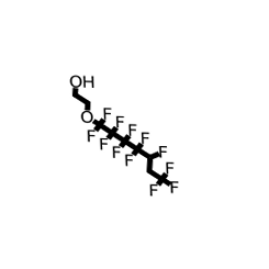 OCCOC(F)(F)C(F)(F)C(F)(F)C(F)(F)C(F)CC(F)(F)F